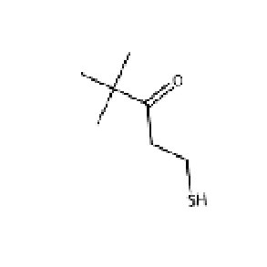 CC(C)(C)C(=O)CCS